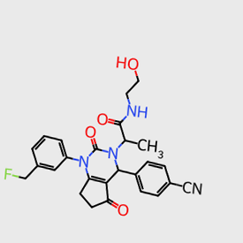 CC(C(=O)NCCO)N1C(=O)N(c2cccc(CF)c2)C2=C(C(=O)CC2)C1c1ccc(C#N)cc1